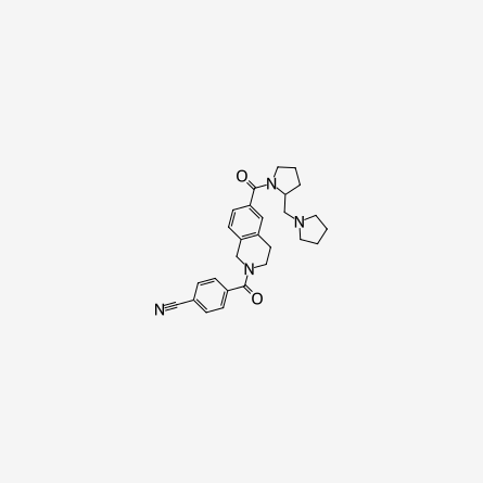 N#Cc1ccc(C(=O)N2CCc3cc(C(=O)N4CCCC4CN4CCCC4)ccc3C2)cc1